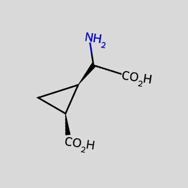 NC(C(=O)O)[C@@H]1C[C@@H]1C(=O)O